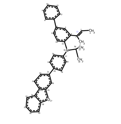 C/C=C(\C)c1cc(-c2ccccc2)ccc1N(c1ccc(-c2ccc3c(c2)oc2ccccc23)cc1)C(C)C